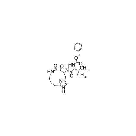 CC(C)C(NC(=O)OCc1ccccc1)C(=O)NC1Cc2c[nH]c(n2)CCCCNC(=O)C1=O